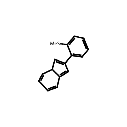 CSc1ccccc1C1=CC2C=CC=CC2=C1